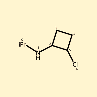 CC(C)NC1CCC1Cl